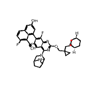 C#Cc1c(F)ccc2cc(O)cc(-c3c(F)cc4c(N5CC6CCC(C5)N6)nc(OCC5(CN6C[C@H]7CC[C@@H]6CC7)CC5)nc4c3F)c12